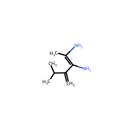 C=C(/C(N)=C(\C)N)C(C)C